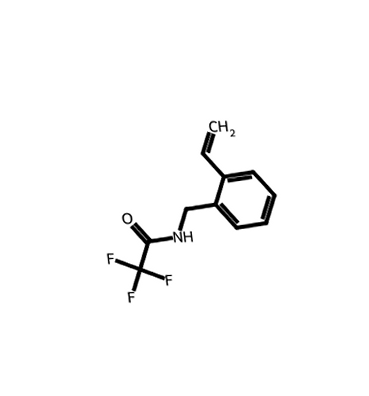 C=Cc1ccccc1CNC(=O)C(F)(F)F